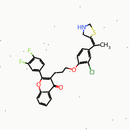 CC(=C1CNCS1)c1ccc(OCCCc2c(-c3ccc(F)c(F)c3)oc3ccccc3c2=O)c(Cl)c1